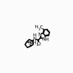 Cc1cccc2[nH]c(C(=O)NC3CC4CCC(C3)N4C)nc12